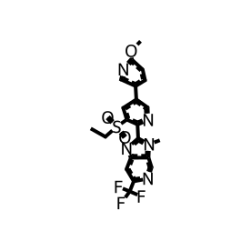 CCS(=O)(=O)c1cc(-c2ccc(OC)nc2)cnc1-c1nc2cc(C(F)(F)F)ncc2n1C